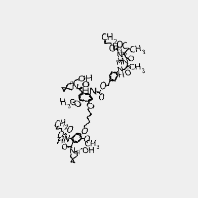 C=CCOC(=O)Nc1cc(OCCCCCOc2cc(NC(=O)OCc3ccc(NC(=O)[C@H](C)NC(=O)[C@@H](NC(=O)OCC=C)C(C)C)cc3)c(C(=O)N3CC4(CC4)C[C@H]3CO)cc2OC)c(OC)cc1C(=O)N1CC2(CC2)C[C@H]1CO